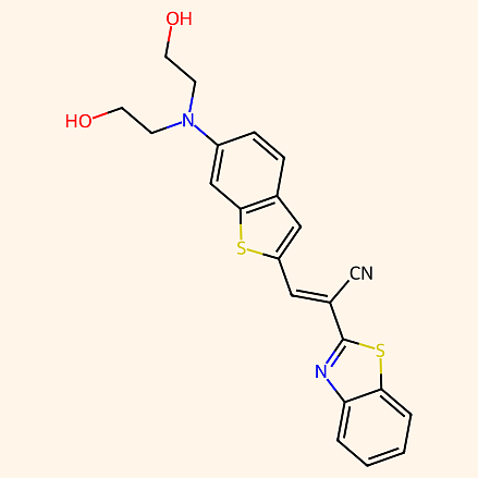 N#C/C(=C\c1cc2ccc(N(CCO)CCO)cc2s1)c1nc2ccccc2s1